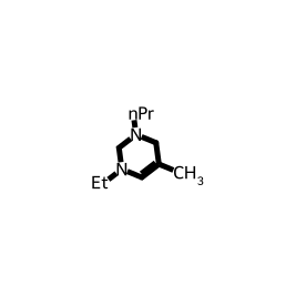 CCCN1CC(C)=CN(CC)C1